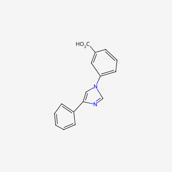 O=C(O)c1cccc(-n2cnc(-c3ccccc3)c2)c1